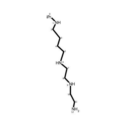 CC(C)NCCCCNCCNCCN